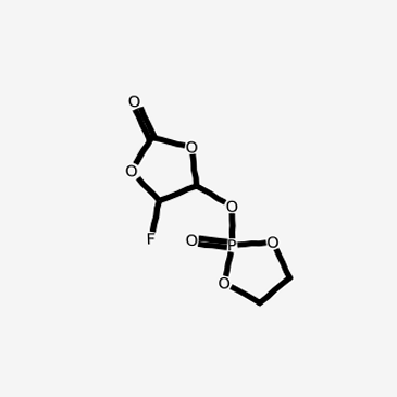 O=C1OC(F)C(OP2(=O)OCCO2)O1